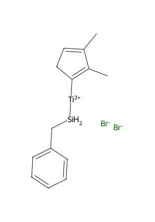 CC1=CC[C]([Ti+2][SiH2]Cc2ccccc2)=C1C.[Br-].[Br-]